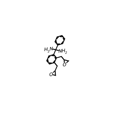 NC(N)(c1ccccc1)c1cccc(CC2CO2)c1CC1CO1